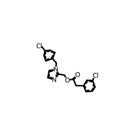 O=C(Cc1cccc(Cl)c1)OCc1nccn1Cc1ccc(Cl)cc1